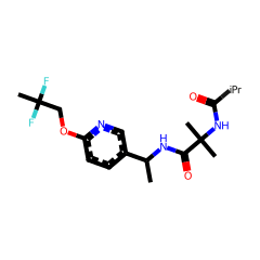 CC(C)C(=O)NC(C)(C)C(=O)NC(C)c1ccc(OCC(C)(F)F)nc1